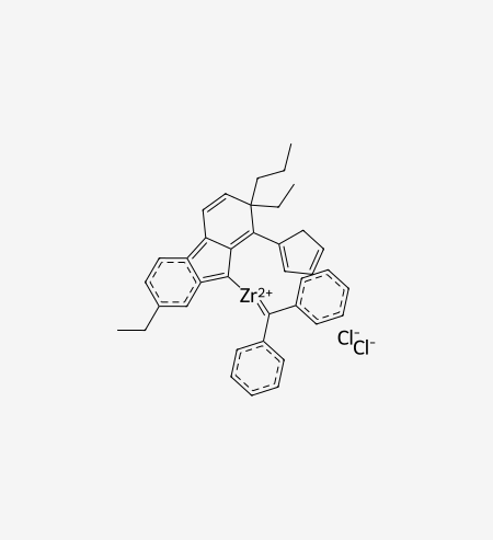 CCCC1(CC)C=CC2=c3ccc(CC)cc3=[C]([Zr+2]=[C](c3ccccc3)c3ccccc3)C2=C1C1=CC=CC1.[Cl-].[Cl-]